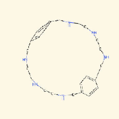 c1cc2ccc1CNCCNCCNCc1ccc(cc1)CNCCNCCNC2